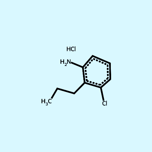 CCCc1c(N)cccc1Cl.Cl